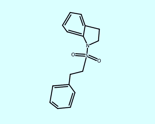 O=S(=O)(CCc1ccccc1)N1CCc2ccccc21